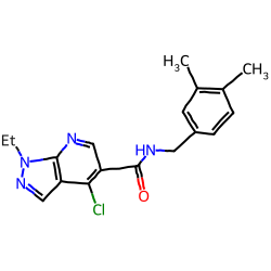 CCn1ncc2c(Cl)c(C(=O)NCc3ccc(C)c(C)c3)cnc21